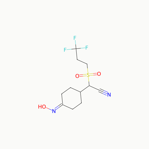 N#CC(C1CCC(=NO)CC1)S(=O)(=O)CCC(F)(F)F